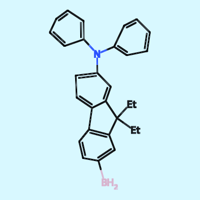 Bc1ccc2c(c1)C(CC)(CC)c1cc(N(c3ccccc3)c3ccccc3)ccc1-2